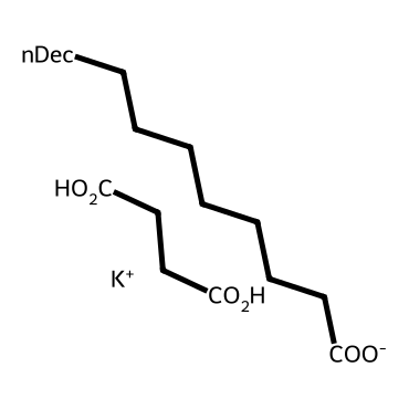 CCCCCCCCCCCCCCCCCC(=O)[O-].O=C(O)CCC(=O)O.[K+]